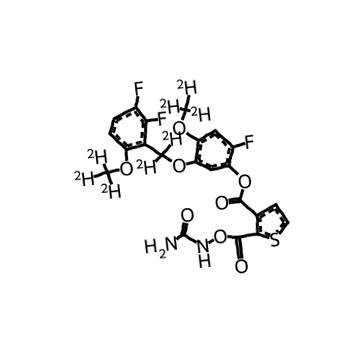 [2H]C([2H])([2H])Oc1cc(F)c(OC(=O)c2ccsc2C(=O)ONC(N)=O)cc1OC([2H])([2H])c1c(OC([2H])([2H])[2H])ccc(F)c1F